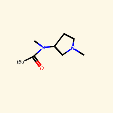 CN1CCC(N(C)C(=O)C(C)(C)C)C1